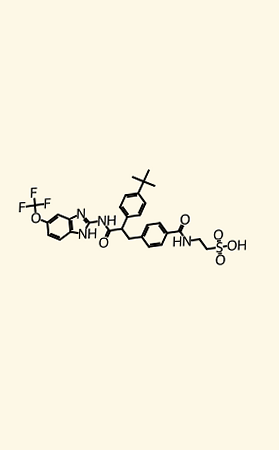 CC(C)(C)c1ccc(C(Cc2ccc(C(=O)NCCS(=O)(=O)O)cc2)C(=O)Nc2nc3cc(OC(F)(F)F)ccc3[nH]2)cc1